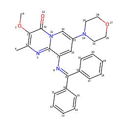 COc1c(C)nc2c(N=C(c3ccccc3)c3ccccc3)cc(N3CCOCC3)cn2c1=O